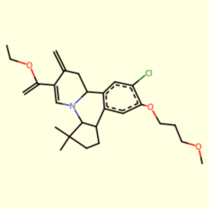 C=C1CC2c3cc(Cl)c(OCCCOC)cc3C3CCC(C)(C)C3N2C=C1C(=C)OCC